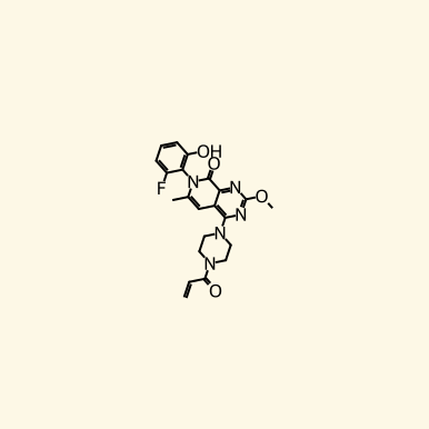 C=CC(=O)N1CCN(c2nc(OC)nc3c(=O)n(-c4c(O)cccc4F)c(C)cc23)CC1